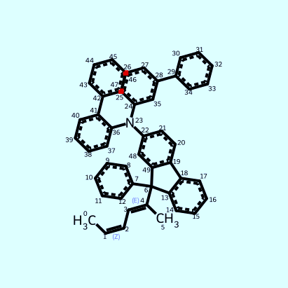 C/C=C\C=C(/C)C1(c2ccccc2)c2ccccc2-c2ccc(N(c3cccc(-c4ccccc4)c3)c3ccccc3-c3ccccc3)cc21